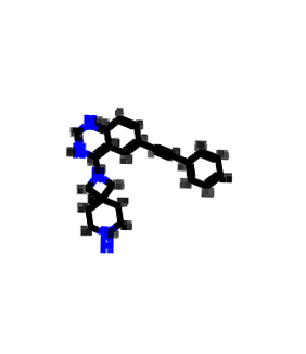 C(#Cc1ccc2ncnc(N3CC4(CCNCC4)C3)c2c1)c1ccccc1